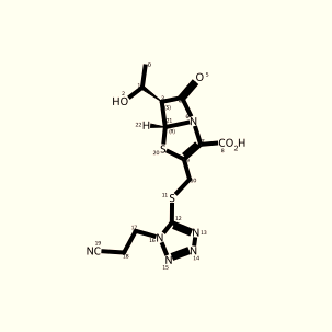 CC(O)[C@H]1C(=O)N2C(C(=O)O)=C(CSc3nnnn3CCC#N)S[C@H]12